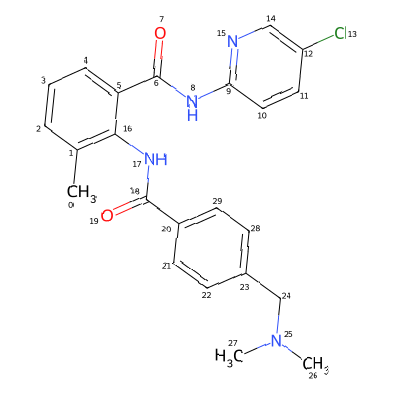 Cc1cccc(C(=O)Nc2ccc(Cl)cn2)c1NC(=O)c1ccc(CN(C)C)cc1